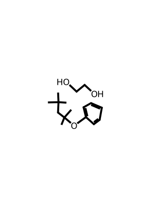 CC(C)(C)CC(C)(C)Oc1ccccc1.OCCO